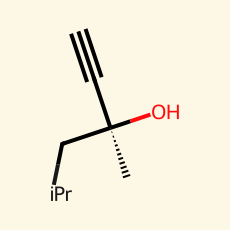 C#C[C@@](C)(O)CC(C)C